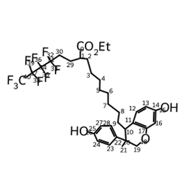 CCOC(=O)C(CCCCCCCCC1c2ccc(O)cc2OCC1(C)c1ccc(O)cc1)CCC(F)(F)C(F)(F)C(F)(F)C(F)(F)F